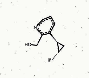 CC(C)[C@H]1C[C@@H]1c1cccnc1CO